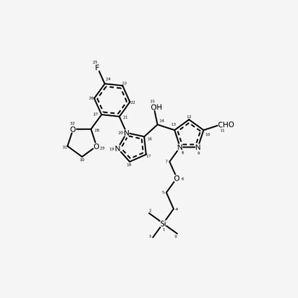 C[Si](C)(C)CCOCn1nc(C=O)cc1C(O)c1ccnn1-c1ccc(F)cc1C1OCCO1